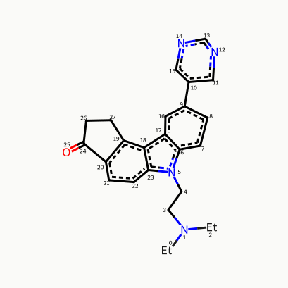 CCN(CC)CCn1c2ccc(-c3cncnc3)cc2c2c3c(ccc21)C(=O)CC3